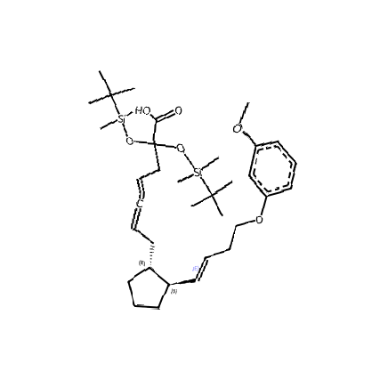 COc1cccc(OCC/C=C/[C@H]2CCC[C@@H]2CC=C=CCC(O[Si](C)(C)C(C)(C)C)(O[Si](C)(C)C(C)(C)C)C(=O)O)c1